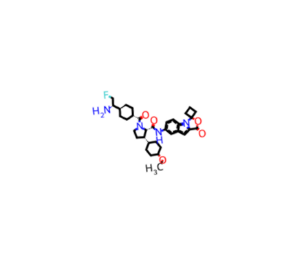 COC1CCC([C@@H]2CCN(C(=O)[C@H]3CC[C@H]([C@H](N)CF)CC3)[C@@H]2C(=O)Nc2ccc3c(c2)cc2n3C3(CCC3)OC2=O)CC1